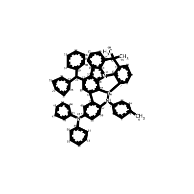 Cc1ccc(N2B3c4cccc5c4-n4c6c(cccc6c6c(C(c7ccccc7)c7ccccc7)cc(c3c64)-c3cc(N(c4ccccc4)c4ccccc4)ccc32)C5(C)C)cc1